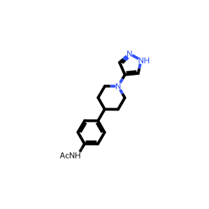 CC(=O)Nc1ccc(C2CCN(c3cn[nH]c3)CC2)cc1